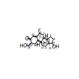 C[C@H]1C[C@H]2[C@@H]3CC[C@H](O)[C@@]3(C)CC[C@@H]2[C@@]2(C)C/C(=C/O)C(=O)C=C12